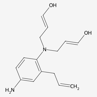 C=CCc1cc(N)ccc1N(CC=CO)CC=CO